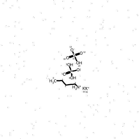 CCCCN.O=P([O-])(O)O.O=S(=O)([O-])O.[K+].[K+]